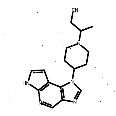 CC(CC#N)N1CCC(n2cnc3cnc4[nH]ccc4c32)CC1